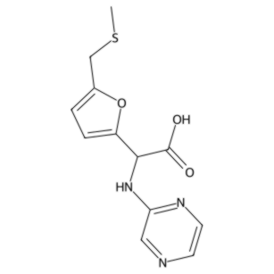 CSCc1ccc(C(Nc2cnccn2)C(=O)O)o1